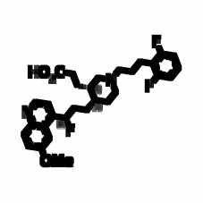 COc1ccc2nccc([C@H](F)CC[C@@H]3CCN(CCCc4c(F)cccc4F)C[C@H]3CCC(=O)O)c2c1